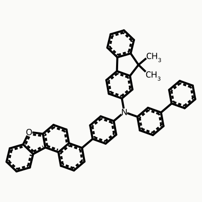 CC1(C)c2ccccc2-c2ccc(N(c3ccc(-c4cccc5c4ccc4oc6ccccc6c45)cc3)c3cccc(-c4ccccc4)c3)cc21